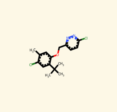 Cc1cc(OCc2ccc(Cl)nn2)c(C(C)(C)C)cc1Cl